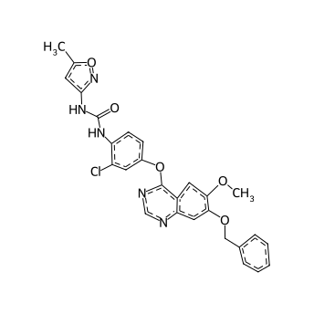 COc1cc2c(Oc3ccc(NC(=O)Nc4cc(C)on4)c(Cl)c3)ncnc2cc1OCc1ccccc1